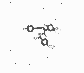 CC(NC(=O)c1c(C#Cc2ccc(F)cc2)sc2c1CC(C)(C)OC2)c1ccc(C(=O)O)cc1